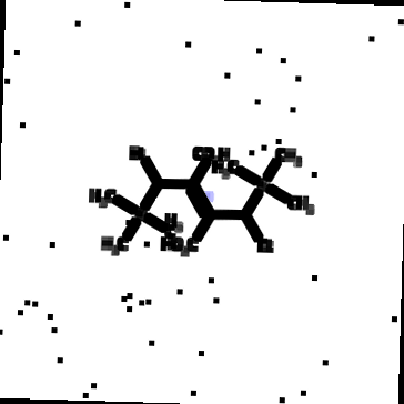 CCC(/C(C(=O)O)=C(\C(=O)O)C(CC)[Si](C)(C)C)[Si](C)(C)C